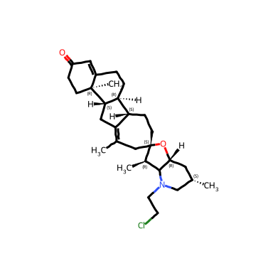 CC1=C2C[C@H]3[C@@H](CCC4=CC(=O)CC[C@@]43C)[C@@H]2CC[C@@]2(C1)O[C@@H]1C[C@H](C)CN(CCCl)C1[C@H]2C